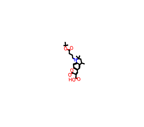 CC1CC(C)(C)N(CCCC(=O)OC(C)(C)C)c2cc3oc(=O)c(C(=O)O)cc3cc21